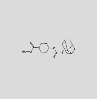 CC(C)(C)OC(=O)N1CCC(OC(=O)OC23CC4CC(CC(C4)C2)C3)CC1